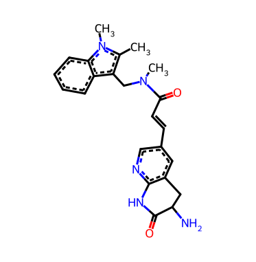 Cc1c(CN(C)C(=O)/C=C/c2cnc3c(c2)CC(N)C(=O)N3)c2ccccc2n1C